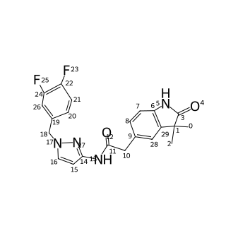 CC1(C)C(=O)Nc2ccc(CC(=O)Nc3ccn(Cc4ccc(F)c(F)c4)n3)cc21